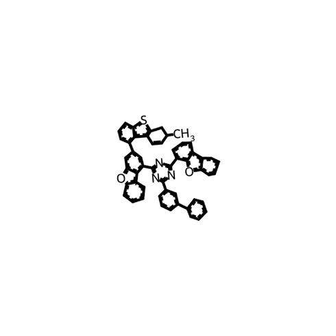 CC1C=Cc2c(sc3cccc(-c4cc(-c5nc(-c6cccc(-c7ccccc7)c6)nc(-c6cccc7c6oc6ccccc67)n5)c5c(c4)oc4ccccc45)c23)C1